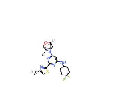 Cc1csc(-c2nc(NC3CCC(F)(F)CC3)cc(N3C[C@@H]4C[C@H]3CO4)n2)n1